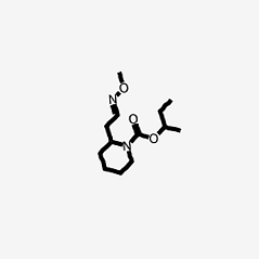 CCC(C)OC(=O)N1CCCCC1C/C=N/OC